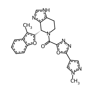 Cc1c([C@@H]2c3nc[nH]c3CCN2C(=O)c2nnc(-c3cnn(C)c3)o2)oc2ccccc12